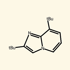 CC(C)(C)c1cn2cccc(C(C)(C)C)c2n1